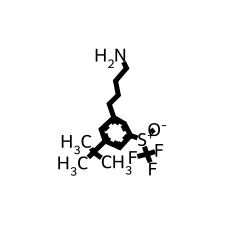 CC(C)(C)c1cc(CCCCN)cc([S+]([O-])C(F)(F)F)c1